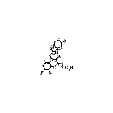 O=C(O)CC1Sc2c(ccc(F)c2F)N(Cc2nc3cc(F)ccc3s2)C1=O